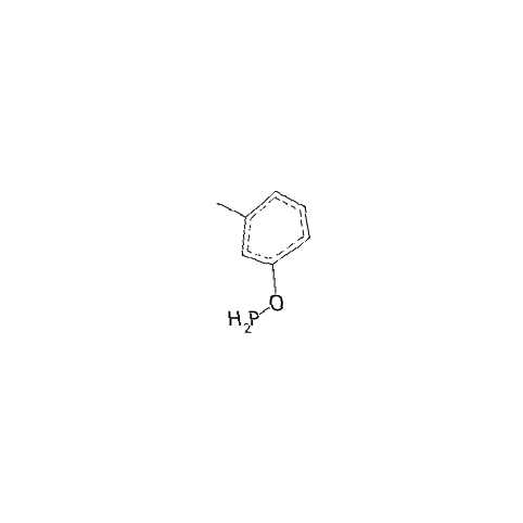 Cc1cccc(OP)c1